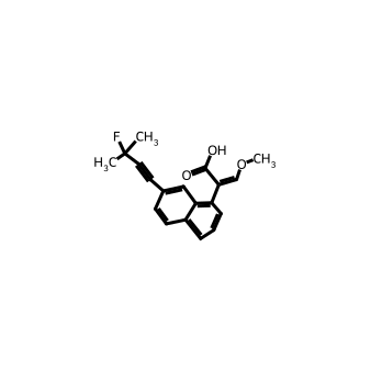 COC=C(C(=O)O)c1cccc2ccc(C#CC(C)(C)F)cc12